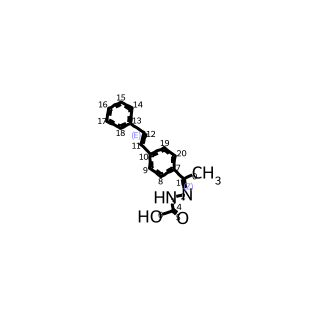 C/C(=N/NC(=O)O)c1ccc(/C=C/c2ccccc2)cc1